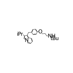 CC(C)c1cn2ccccc2c1Cc1ccc(OCCCNC(C)(C)C)cc1